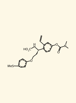 C=Cc1cc(OC(=O)N(C)C)ccc1[C@@H](CCOc1ccc(SC)cc1)NC(=O)O